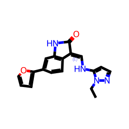 CCn1nccc1N/C=C1/C(=O)Nc2cc(-c3ccco3)ccc21